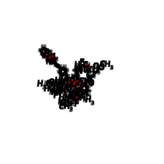 CCOC(=O)CN(CCCC(=O)OC)C(=O)Cc1cc(C)cc(OP(=O)(O)O)c1C(C)(C)CC(=O)O[C@@H](CN(Cc1c(F)cc(-c2ccn(C(F)F)n2)cc1F)NC(=O)[C@@H](NC(=O)OC)C(C)(C)C(F)(F)F)[C@H](Cc1ccc(C#Cc2cnc(N3CC4CCC(C3)N4C3COC3)nc2)cc1)NC(=O)[C@@H](NC(=O)OC)C(C)(C)C(F)(F)F